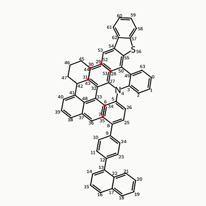 c1ccc(N(c2ccc(-c3ccc(-c4cccc5ccccc45)cc3)cc2)c2ccccc2-c2cccc3cccc(C4CCCCC4)c23)c(-c2cccc3c2sc2ccccc23)c1